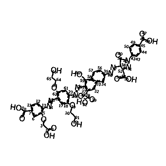 O=C(O)COc1cc(C(=O)O)ccc1/N=N/c1cc(OCCO)c(/N=N/c2c(S(=O)(=O)O)cc3cc(/N=N/C4C(=O)N(c5ccc(C(=O)O)cc5)N=C4C(=O)O)ccc3c2O)cc1OCCO